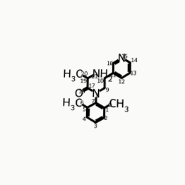 Cc1cccc(C)c1N(CCc1cccnc1)C(=O)C(C)N